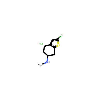 CNC1CCc2cc(Cl)sc2C1.Cl